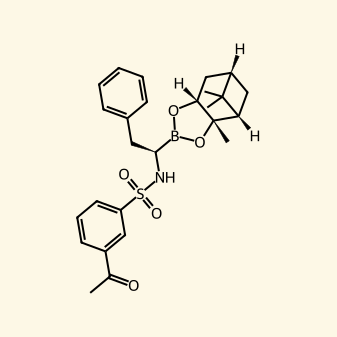 CC(=O)c1cccc(S(=O)(=O)N[C@@H](Cc2ccccc2)B2O[C@@H]3C[C@@H]4C[C@@H](C4(C)C)[C@]3(C)O2)c1